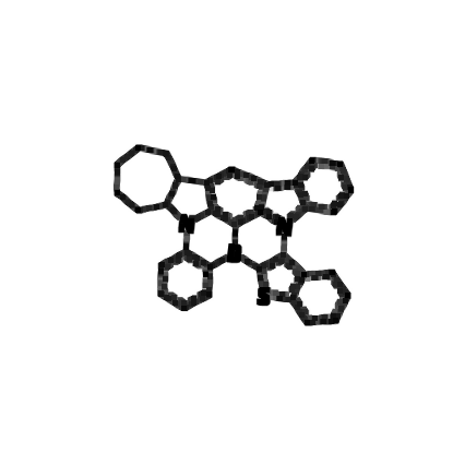 c1ccc2c(c1)B1c3sc4ccccc4c3-n3c4ccccc4c4cc5c(c1c43)N2C1CCCCCC51